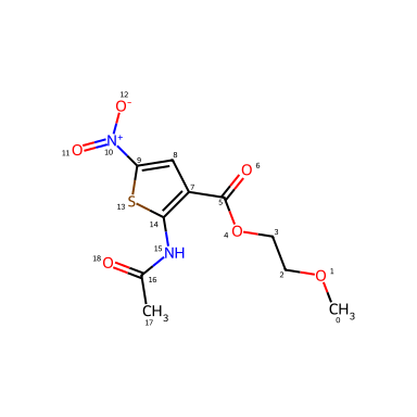 COCCOC(=O)c1cc([N+](=O)[O-])sc1NC(C)=O